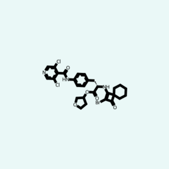 O=C(Nc1ccc(C[C@H](NC2=C(Br)C(=O)C23CCCCC3)C(=O)OC2CCOC2)cc1)c1c(Cl)cncc1Cl